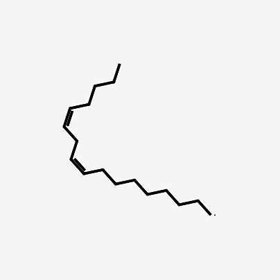 [CH2]CCCCCCC/C=C\C/C=C\CCCC